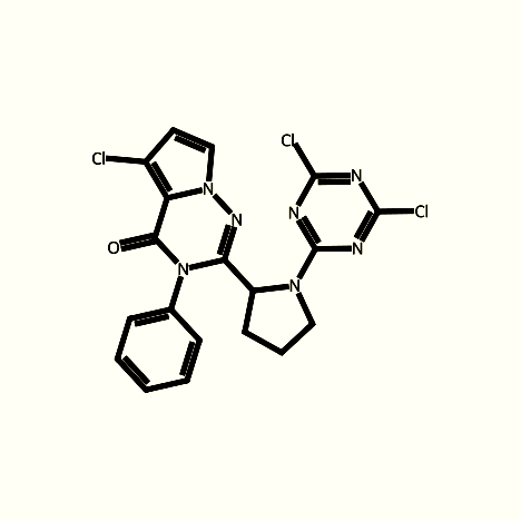 O=c1c2c(Cl)ccn2nc(C2CCCN2c2nc(Cl)nc(Cl)n2)n1-c1ccccc1